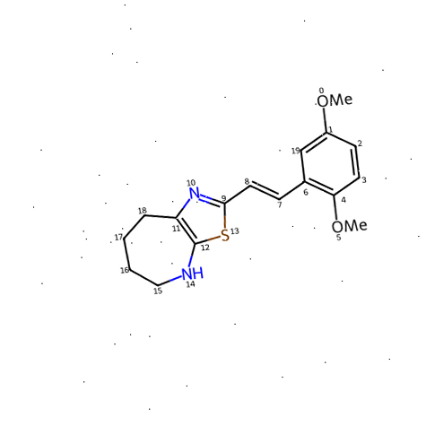 COc1ccc(OC)c(C=Cc2nc3c(s2)NCCCC3)c1